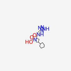 O=C(NCc1nn[nH]n1)C1CC(C2CCCCC2)CN1C(=O)O